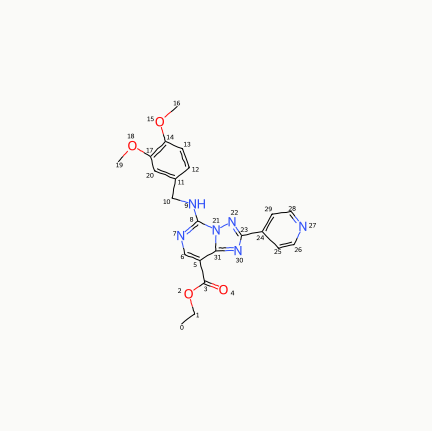 CCOC(=O)c1cnc(NCc2ccc(OC)c(OC)c2)n2nc(-c3ccncc3)nc12